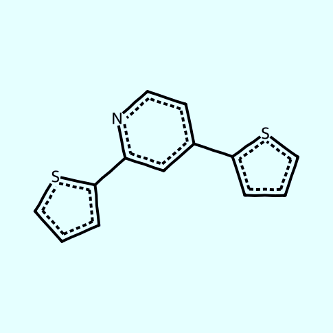 c1csc(-c2ccnc(-c3cccs3)c2)c1